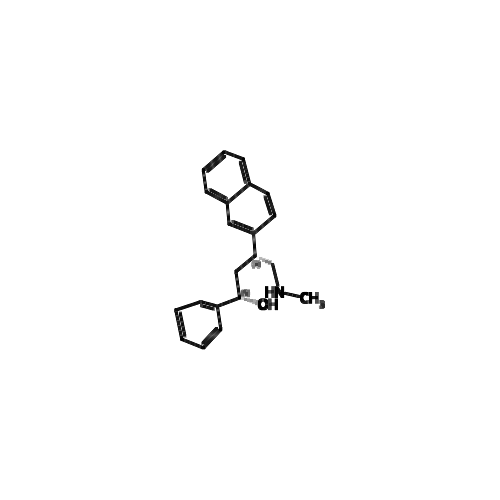 CNC[C@H](C[C@H](O)c1ccccc1)c1ccc2ccccc2c1